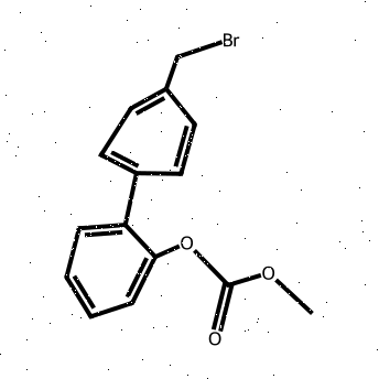 COC(=O)Oc1ccccc1-c1ccc(CBr)cc1